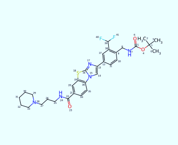 CC(C)(C)OC(=O)NCc1ccc(-c2cn3c(n2)sc2cc(C(=O)NCCCN4CCCCC4)ccc23)cc1C(F)F